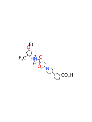 CCOc1cc(CNC(=O)[C@@]2(C3CC3)CC[C@@H](N3CC[C@H](c4cccc(C(=O)O)c4)[C@@H](C)C3)CO2)cc(C(F)(F)F)c1